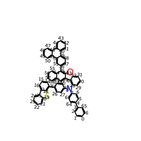 c1ccc(-c2ccc(N(c3ccc(-c4cccc5c4sc4ccccc45)cc3)c3cccc4oc5c(-c6ccc7c8ccccc8c8ccccc8c7c6)c6ccccc6cc5c34)cc2)cc1